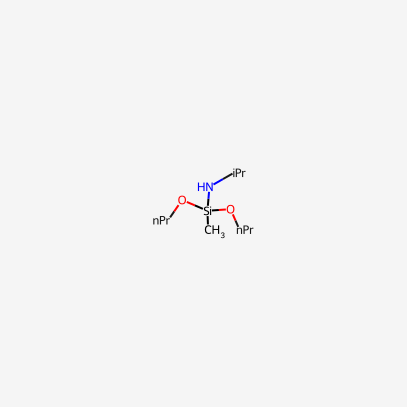 CCCO[Si](C)(NC(C)C)OCCC